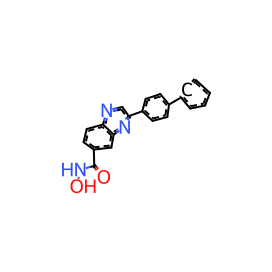 O=C(NO)c1ccc2ncc(-c3ccc(-c4ccccc4)cc3)nc2c1